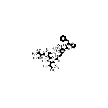 CC[C@H](C)C([C@H](CC(=O)NCC1O[C@H](C(=O)N[C@@H](Cc2ccccc2)c2nccs2)[C@@H](OC)[C@@H]1OC)OC)N(C)C(=O)[C@@H](NC(=O)[C@@H](NC)C(C)C)C(C)C